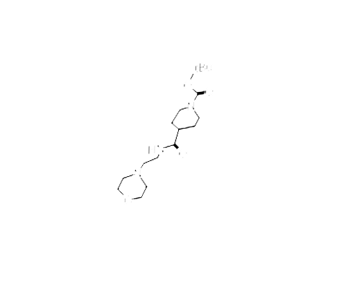 CC(C)(C)OC(=O)N1CCC(C(=O)NCCN2CCOCC2)CC1